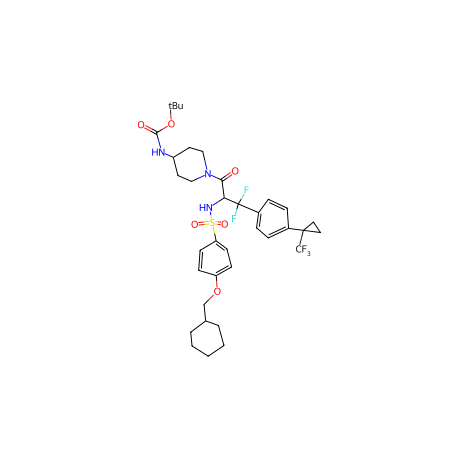 CC(C)(C)OC(=O)NC1CCN(C(=O)C(NS(=O)(=O)c2ccc(OCC3CCCCC3)cc2)C(F)(F)c2ccc(C3(C(F)(F)F)CC3)cc2)CC1